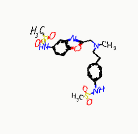 CN(CCc1ccc(NS(C)(=O)=O)cc1)Cc1nc2cc(NS(C)(=O)=O)ccc2o1